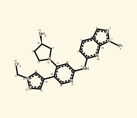 CC(C)n1ncc2ccc(Nc3cc(N4CC[C@@H](N)C4)c(-c4cnn(CC(F)(F)F)c4)cn3)nc21